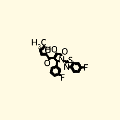 Cc1ccc(C(=O)C2=C(O)C(=O)N(c3nc4ccc(F)cc4s3)C2c2cccc(F)c2)o1